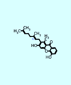 CC(C)=CCC/C(C)=C/Cc1c(O)cc2oc3c(O)cccc3c(=O)c2c1C